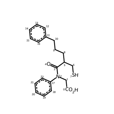 O=C(O)CN(C(=O)C(CS)CCCc1ccccc1)c1ccccc1